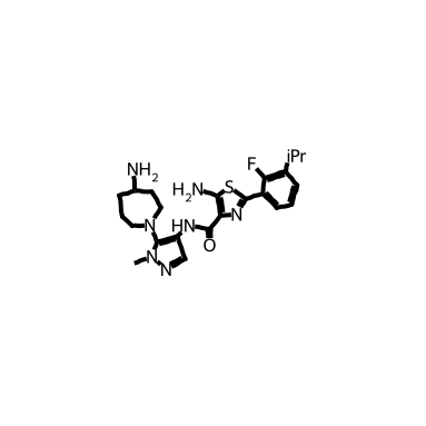 CC(C)c1cccc(-c2nc(C(=O)Nc3cnn(C)c3N3CCCC(N)CC3)c(N)s2)c1F